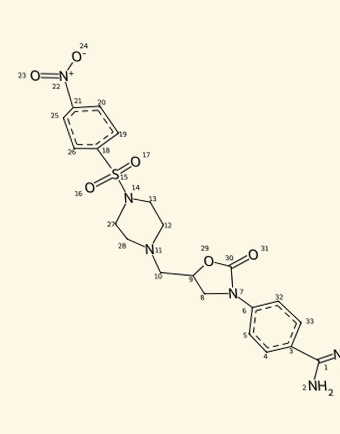 N=C(N)c1ccc(N2CC(CN3CCN(S(=O)(=O)c4ccc([N+](=O)[O-])cc4)CC3)OC2=O)cc1